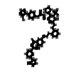 COc1cc(OCCc2ccccc2CCC(=O)N[C@H](C(=O)N2CCC[C@H]2C(=O)NCc2ccc(-c3scnc3C)cc2)C(C)(C)C)ccc1NC(=O)c1cccc(-c2ccn[nH]2)n1